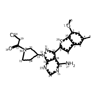 COc1cc(C)cc2cc(-c3nn(C4CCN(C(=O)CCl)C4)c4ncnc(N)c34)sc12